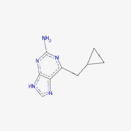 Nc1nc(CC2CC2)c2nc[nH]c2n1